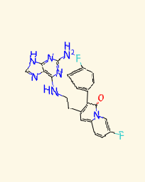 Nc1nc(NCCc2cc3ccc(F)cn3c(=O)c2-c2ccc(F)cc2)c2nc[nH]c2n1